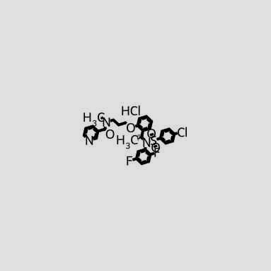 C[C@H](c1ccccc1OCCCN(C)C(=O)c1cccnc1)N(c1cc(F)ccc1F)S(=O)(=O)c1ccc(Cl)cc1.Cl